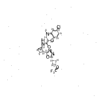 CN1CC(C(=O)NC2C3CC2(c2nnc([C@H]4C[C@@H](OC(F)(F)F)C4)o2)C3)Oc2ccc(Cl)cc21